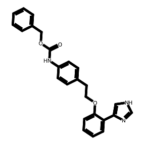 O=C(Nc1ccc(CCOc2ccccc2-c2c[nH]cn2)cc1)OCc1ccccc1